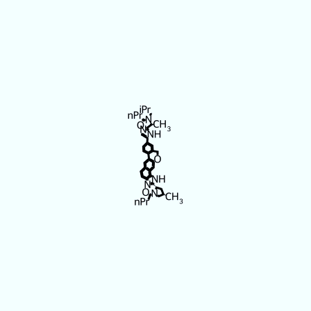 CCCC(=O)N(CC(C)C)[C@@H](C)c1ncc(-c2ccc3c(c2)COc2cc4c(ccc5nc([C@@H]6C[C@H](C)CN6C(=O)CCC)[nH]c54)cc2-3)[nH]1